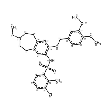 CCN1CCc2cc(NS(=O)(=O)c3cccc(Cl)c3C)c(OCc3ccc(OC)c(OC)c3)nc2CC1